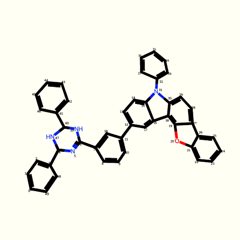 c1ccc(C2N=C(c3cccc(-c4ccc5c(c4)c4c6oc7ccccc7c6ccc4n5-c4ccccc4)c3)NC(c3ccccc3)N2)cc1